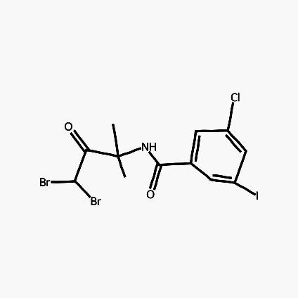 CC(C)(NC(=O)c1cc(Cl)cc(I)c1)C(=O)C(Br)Br